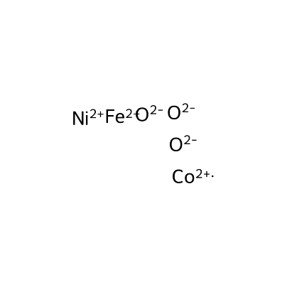 [Co+2].[Fe+2].[Ni+2].[O-2].[O-2].[O-2]